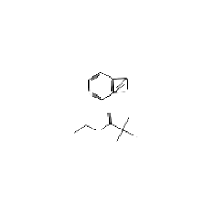 CCOC(=O)C(C)(C)S.c1cc2c3sc-2cc3n1